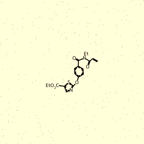 C=CC(=O)N(CC)C(=O)c1ccc(Oc2ncc(C(=O)OCC)s2)cc1